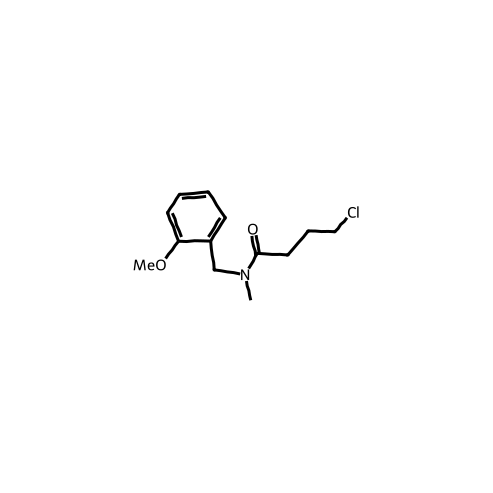 COc1ccccc1CN(C)C(=O)CCCCl